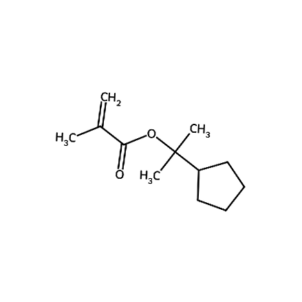 C=C(C)C(=O)OC(C)(C)C1CCCC1